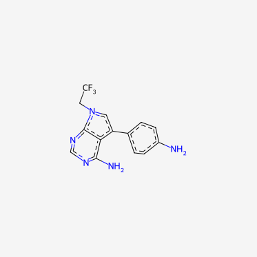 Nc1ccc(-c2cn(CC(F)(F)F)c3ncnc(N)c23)cc1